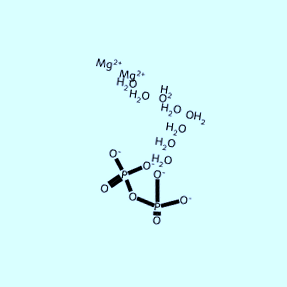 O.O.O.O.O.O.O.O.O=P([O-])([O-])OP(=O)([O-])[O-].[Mg+2].[Mg+2]